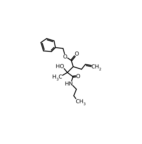 C=CCC(C(=O)OCc1ccccc1)C(C)(O)C(=O)NCCC